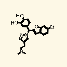 CCc1ccc2cc(C(c3ccc(O)c(O)c3)n3cc(CCN(C)C)nn3)oc2c1